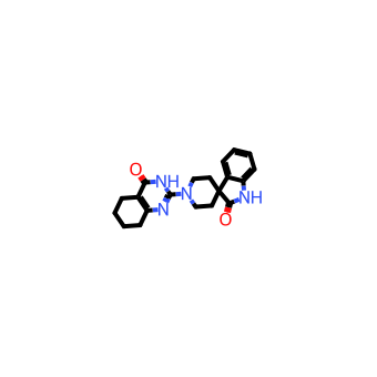 O=C1Nc2ccccc2C12CCN(c1nc3c(c(=O)[nH]1)CCCC3)CC2